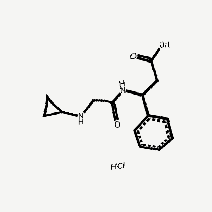 Cl.O=C(O)CC(NC(=O)CNC1CC1)c1ccccc1